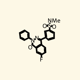 CNS(=O)(=O)c1cccc(-c2nn(-c3ccccc3)c(=O)c3cc(F)ccc23)c1